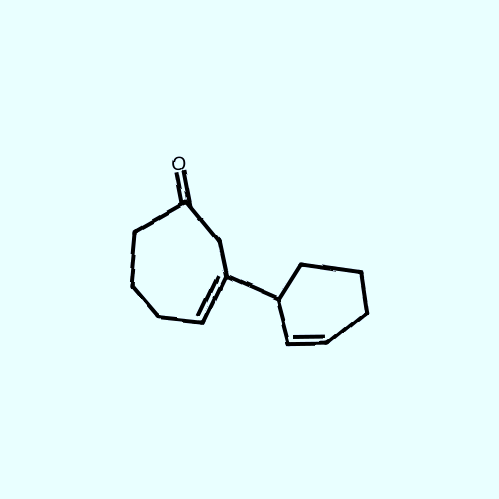 O=C1CCCC=C(C2C=CCCC2)C1